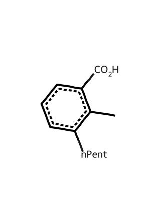 CCCCCc1cccc(C(=O)O)c1C